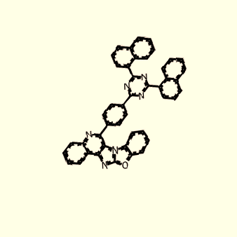 c1ccc2c(-c3nc(-c4ccc(-c5nc6ccccc6c6nc7oc8ccccc8n7c56)cc4)nc(-c4cccc5ccccc45)n3)cccc2c1